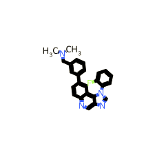 CN(C)Cc1cccc(-c2ccc3ncc4ncn(-c5ccccc5F)c4c3c2)c1